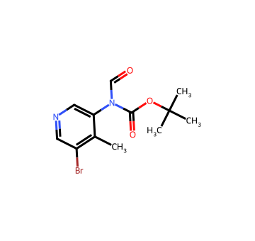 Cc1c(Br)cncc1N(C=O)C(=O)OC(C)(C)C